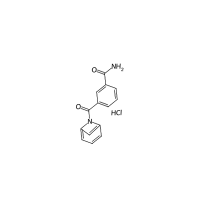 Cl.NC(=O)c1cccc(C(=O)N2C3=CC=CC2=C3)c1